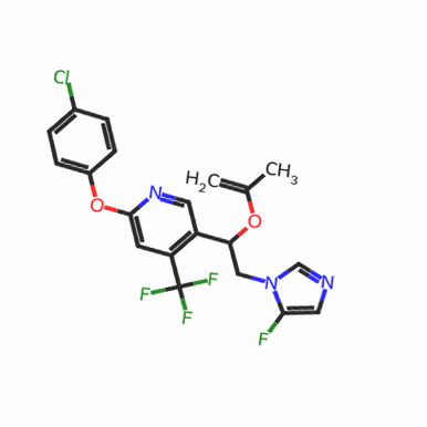 C=C(C)OC(Cn1cncc1F)c1cnc(Oc2ccc(Cl)cc2)cc1C(F)(F)F